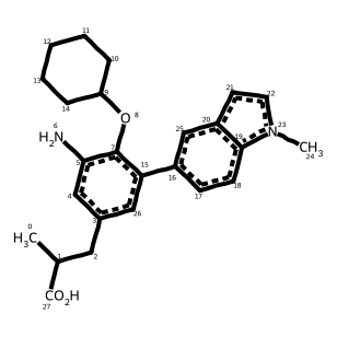 CC(Cc1cc(N)c(OC2CCCCC2)c(-c2ccc3c(ccn3C)c2)c1)C(=O)O